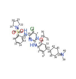 Cc1cc(Nc2ncc(Cl)c(Nc3ccccc3S(=O)(=O)N3CCCC3)n2)c(OC(C)C)cc1C1CCC(N(C)C)CC1